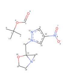 CC(C)(C)OC=O.O=[N+]([O-])c1cnn(CC23CN2CCO3)c1